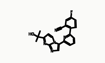 CC(C)(O)c1ccn2c(-c3cccc(-c4ccc(F)cc4C#N)n3)cnc2n1